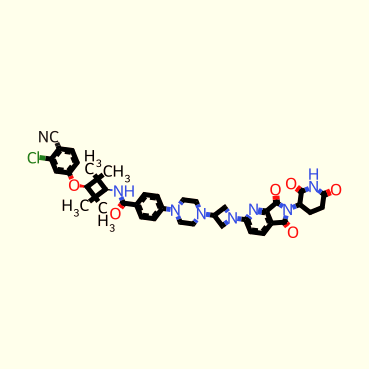 CC1(C)[C@H](NC(=O)c2ccc(N3CCN(C4CN(c5ccc6c(n5)C(=O)N(C5CCC(=O)NC5=O)C6=O)C4)CC3)cc2)C(C)(C)[C@H]1Oc1ccc(C#N)c(Cl)c1